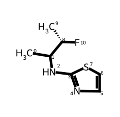 CC(Nc1nccs1)[C@H](C)F